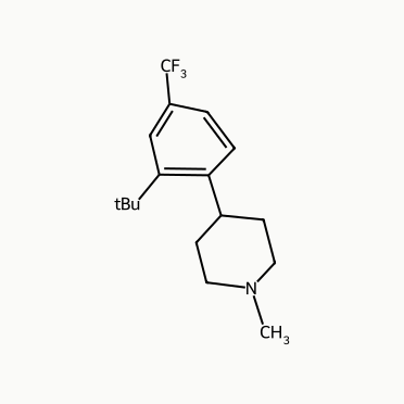 CN1CCC(c2ccc(C(F)(F)F)cc2C(C)(C)C)CC1